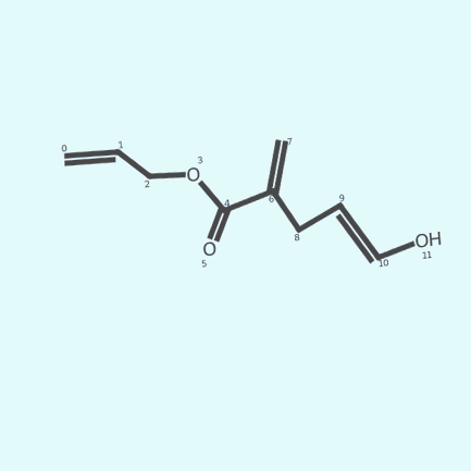 C=CCOC(=O)C(=C)CC=CO